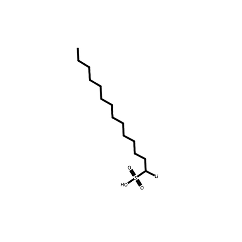 [Li][CH](CCCCCCCCCCCCC)S(=O)(=O)O